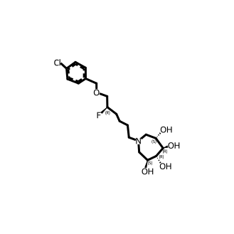 O[C@H]1[C@H](O)[C@@H](O)CN(CCCC[C@@H](F)COCc2ccc(Cl)cc2)C[C@@H]1O